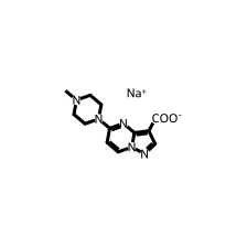 CN1CCN(c2ccn3ncc(C(=O)[O-])c3n2)CC1.[Na+]